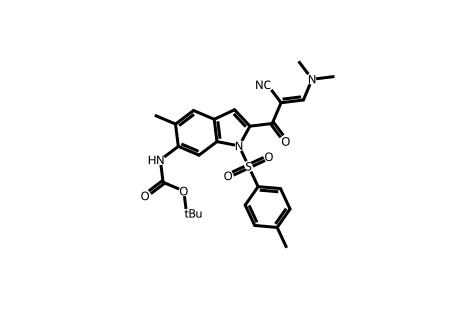 Cc1ccc(S(=O)(=O)n2c(C(=O)C(C#N)=CN(C)C)cc3cc(C)c(NC(=O)OC(C)(C)C)cc32)cc1